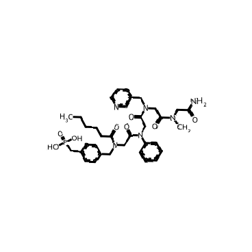 CCCCCC(=O)N(CC(=O)N(CC(=O)N(CC(=O)N(C)CC(N)=O)Cc1cccnc1)c1ccccc1)Cc1ccc(CP(=O)(O)O)cc1